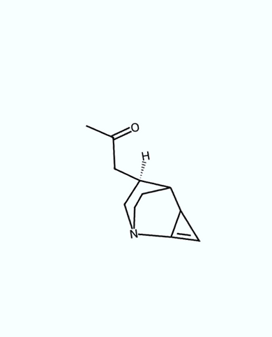 CC(=O)C[C@@H]1CN2CCC1C1C=C12